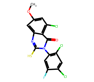 COc1cc(Cl)c2c(=O)n(-c3cc(F)c(Cl)cc3Cl)c(S)nc2c1